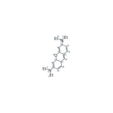 CCN(CC)C1=CC2OC3=CC(N(CC)CC)C=CC3=CC2C=C1